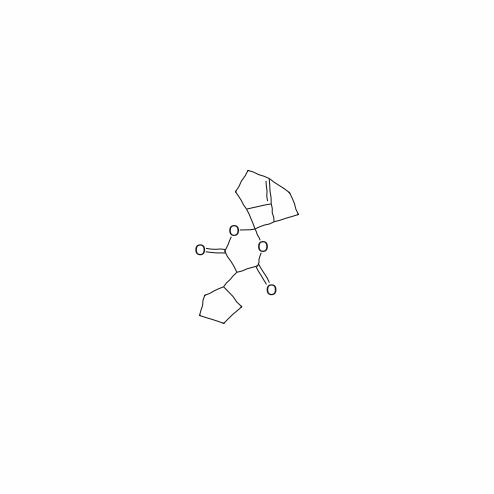 O=C1OC2(OC(=O)C1C1CCCC1)C1CCC3=C1C2CC3